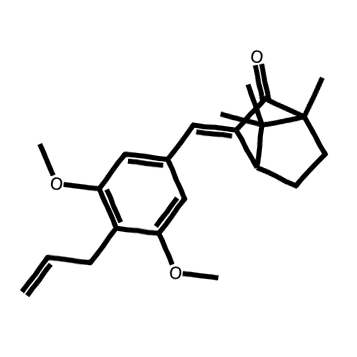 C=CCc1c(OC)cc(C=C2C(=O)C3(C)CCC2C3(C)C)cc1OC